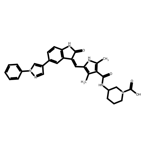 Cc1[nH]c(C=C2C(=O)Nc3ccc(-c4cnn(-c5ccccc5)c4)cc32)c(C)c1C(=O)NC1CCCN(C(=O)O)C1